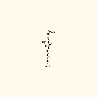 CC(=N)NCCCC(N)C(=O)NCCOCCCCSC(C)C